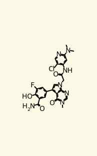 CN(C)c1cc(NC(=O)Cn2cc(-c3cc(F)c(O)c(C(N)=O)c3)c3c(=O)n(C)cnc32)c(Cl)cn1